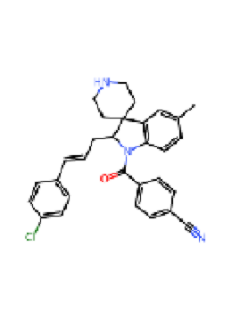 Cc1ccc2c(c1)C1(CCNCC1)C(C/C=C/c1ccc(Cl)cc1)N2C(=O)c1ccc(C#N)cc1